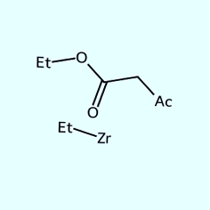 CCOC(=O)CC(C)=O.C[CH2][Zr]